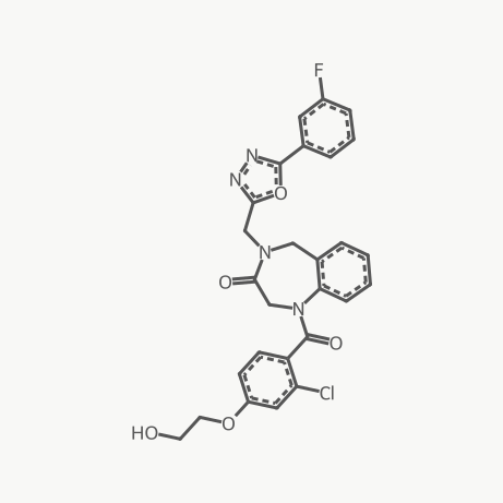 O=C1CN(C(=O)c2ccc(OCCO)cc2Cl)c2ccccc2CN1Cc1nnc(-c2cccc(F)c2)o1